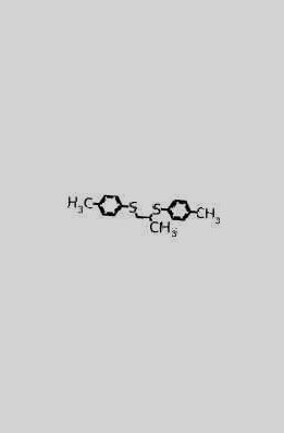 Cc1ccc(SCC(C)Sc2ccc(C)cc2)cc1